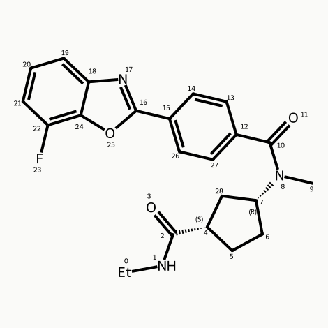 CCNC(=O)[C@H]1CC[C@@H](N(C)C(=O)c2ccc(-c3nc4cccc(F)c4o3)cc2)C1